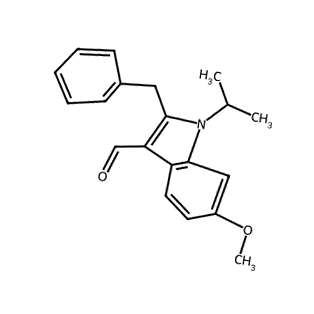 COc1ccc2c(C=O)c(Cc3ccccc3)n(C(C)C)c2c1